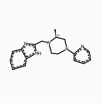 C[C@H]1CN(c2ccccn2)CCN1Cc1nc2ccccc2[nH]1